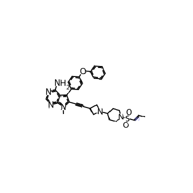 C/C=C/S(=O)(=O)N1CCC(N2CC(C#Cc3c(-c4ccc(Oc5ccccc5)cc4)c4c(N)ncnc4n3C)C2)CC1